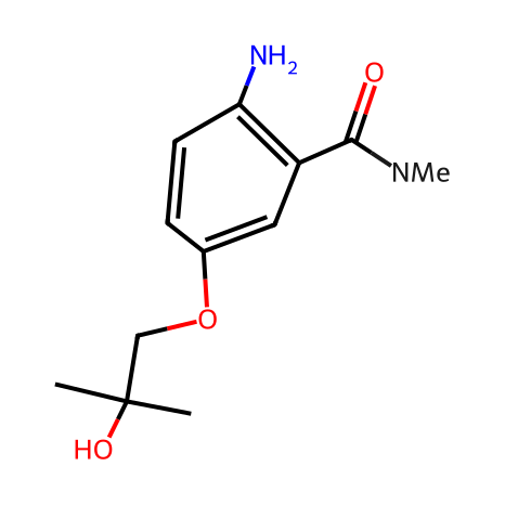 CNC(=O)c1cc(OCC(C)(C)O)ccc1N